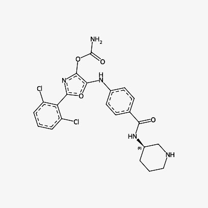 NC(=O)Oc1nc(-c2c(Cl)cccc2Cl)oc1Nc1ccc(C(=O)N[C@@H]2CCCNC2)cc1